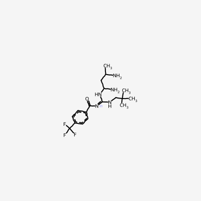 CC(N)CC(N)N/C(=N\C(=O)c1ccc(C(F)(F)F)cc1)NCC(C)(C)C